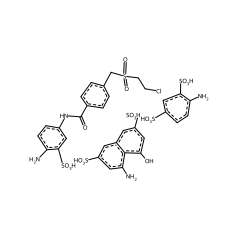 Nc1cc(S(=O)(=O)O)cc2cc(S(=O)(=O)O)cc(O)c12.Nc1ccc(NC(=O)c2ccc(CS(=O)(=O)CCCl)cc2)cc1S(=O)(=O)O.Nc1ccc(S(=O)(=O)O)cc1S(=O)(=O)O